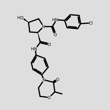 CC1OCCN(c2ccc(NC(=O)[C@H]3C[C@@H](O)CN3C(=O)Nc3ccc(Cl)cc3)cc2)C1=O